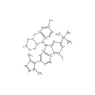 Cc1nnn(C)c1-c1cnc2c3c(F)cc(C(C)(C)O)cc3n(C(c3ccc(F)cc3F)C3CCOCC3)c2c1